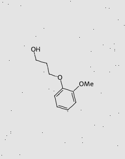 COc1c[c]ccc1OCCCO